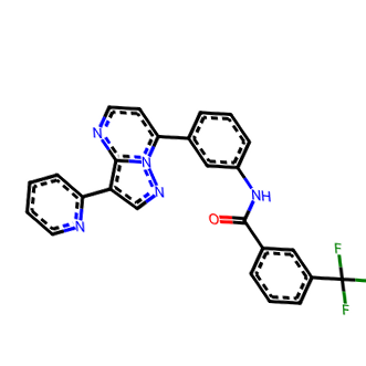 O=C(Nc1cccc(-c2ccnc3c(-c4ccccn4)cnn23)c1)c1cccc(C(F)(F)F)c1